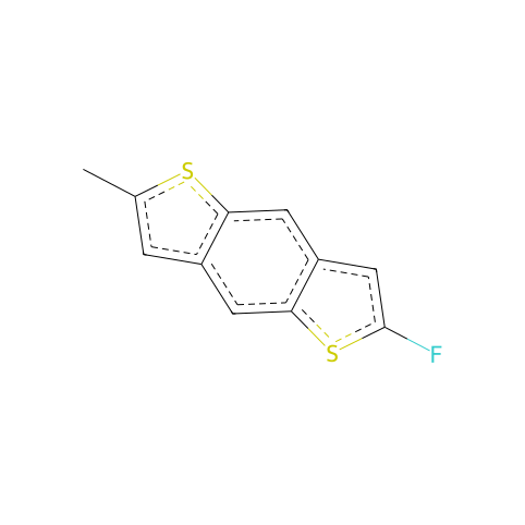 Cc1cc2cc3sc(F)cc3cc2s1